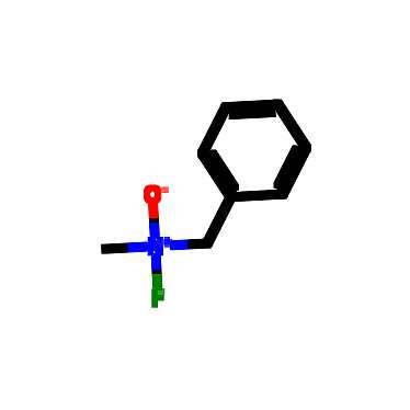 C[N+]([O-])(F)Cc1ccccc1